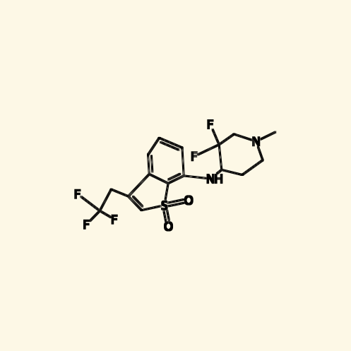 CN1CCC(Nc2cccc3c2S(=O)(=O)C=C3CC(F)(F)F)C(F)(F)C1